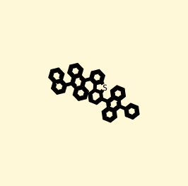 C1=CC2c3c(cccc3-c3c4ccccc4c(-c4cccc5ccccc45)c4ccccc34)SC2C(c2c3ccccc3c(-c3ccccc3)c3ccccc23)=C1